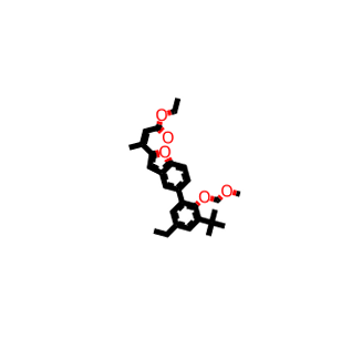 CCOC(=O)/C=C(/C)c1cc2cc(-c3cc(CC)cc(C(C)(C)C)c3OCOC)ccc2o1